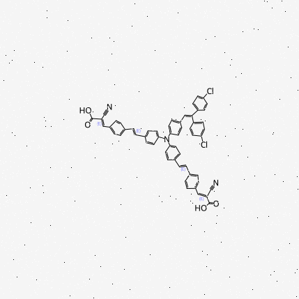 N#C/C(=C\c1ccc(/C=C/c2ccc(N(c3ccc(C=C(c4ccc(Cl)cc4)c4ccc(Cl)cc4)cc3)c3ccc(/C=C/c4ccc(/C=C(\C#N)C(=O)O)cc4)cc3)cc2)cc1)C(=O)O